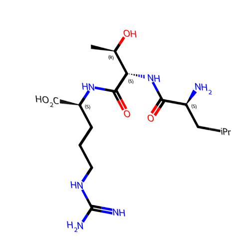 CC(C)C[C@H](N)C(=O)N[C@H](C(=O)N[C@@H](CCCNC(=N)N)C(=O)O)[C@@H](C)O